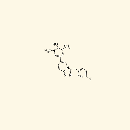 CC1=CC(c2ccc3nnc(Cc4ccc(F)cc4)n3c2)=CN(C)C1O